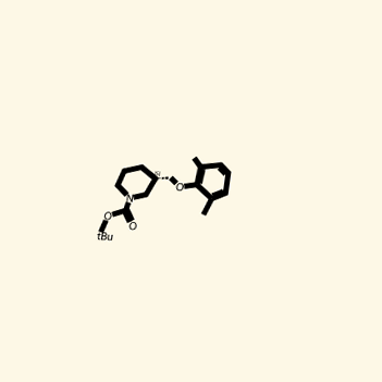 Cc1cccc(C)c1OC[C@H]1CCCN(C(=O)OC(C)(C)C)C1